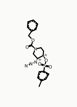 Cc1ccc(S(=O)(=O)O[C@@H]2CCN(C(=O)OCc3ccccc3)C[C@H]2N=[N+]=[N-])cc1